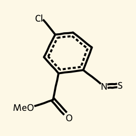 COC(=O)c1cc(Cl)ccc1N=S